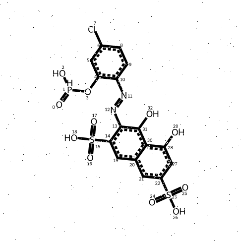 O=[PH](O)Oc1cc(Cl)ccc1N=Nc1c(S(=O)(=O)O)cc2cc(S(=O)(=O)O)cc(O)c2c1O